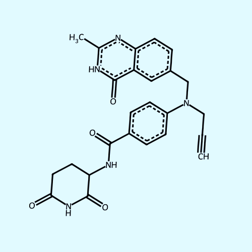 C#CCN(Cc1ccc2nc(C)[nH]c(=O)c2c1)c1ccc(C(=O)NC2CCC(=O)NC2=O)cc1